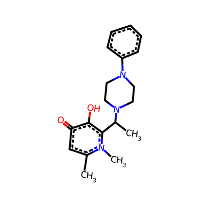 Cc1cc(=O)c(O)c(C(C)N2CCN(c3ccccc3)CC2)n1C